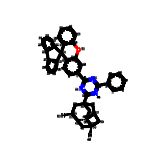 c1ccc(-c2nc(-c3ccc4c(c3)Oc3ccccc3C43c4ccccc4-c4ccccc43)nc(C34CC5C[C@@H]6C[C@H](C3)C[C@]56C4)n2)cc1